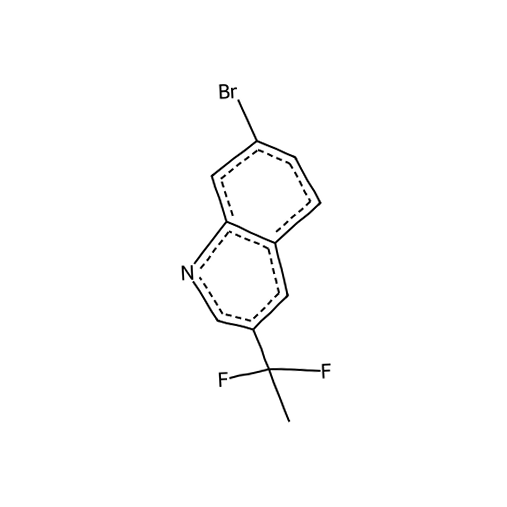 CC(F)(F)c1cnc2cc(Br)ccc2c1